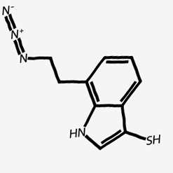 [N-]=[N+]=NCCc1cccc2c(S)c[nH]c12